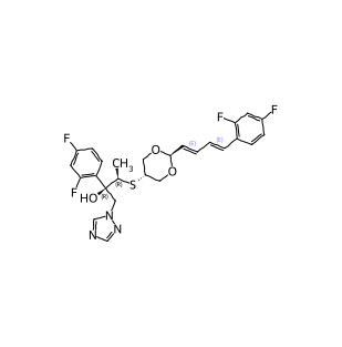 C[C@@H](S[C@H]1CO[C@H](/C=C/C=C/c2ccc(F)cc2F)OC1)[C@](O)(Cn1cncn1)c1ccc(F)cc1F